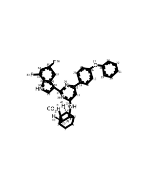 O=C(O)[C@H]1C2CCC(CC2)[C@@H]1Nc1cc(-c2ccc(Oc3ccccc3)cc2)nc(-c2c[nH]c3c(F)cc(F)cc23)n1